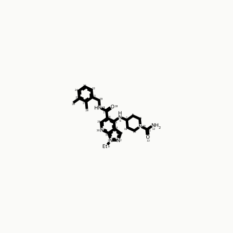 CCn1ncc2c(NC3CCN(C(N)=O)CC3)c(C(=O)NCc3cccc(C)c3C)cnc21